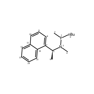 CCCCP(C)N(C)[C@@H](C)c1cccc2ccccc12